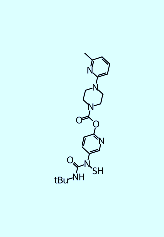 Cc1cccc(N2CCN(C(=O)Oc3ccc(N(S)C(=O)NC(C)(C)C)cn3)CC2)n1